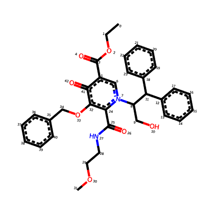 CCOC(=O)c1cn(C(CO)C(c2ccccc2)c2ccccc2)c(C(=O)NCCOC)c(OCc2ccccc2)c1=O